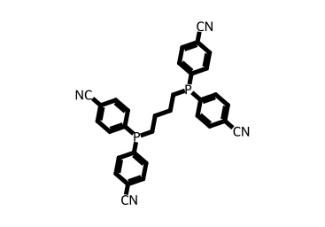 N#Cc1ccc(P(CCCCP(c2ccc(C#N)cc2)c2ccc(C#N)cc2)c2ccc(C#N)cc2)cc1